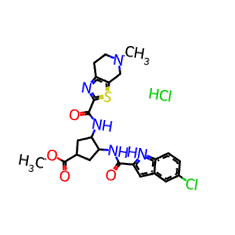 COC(=O)C1CC(NC(=O)c2cc3cc(Cl)ccc3[nH]2)C(NC(=O)c2nc3c(s2)CN(C)CC3)C1.Cl